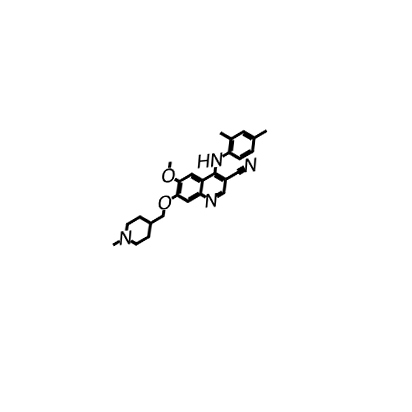 COc1cc2c(Nc3ccc(C)cc3C)c(C#N)cnc2cc1OCC1CCN(C)CC1